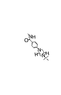 CNC(=O)c1ccc(N2C[C@H]3C[C@@H]2CN3C(C)(C)C)cc1